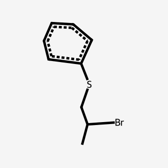 CC(Br)CSc1ccccc1